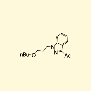 CCCCOCCCn1nc(C(C)=O)c2ccccc21